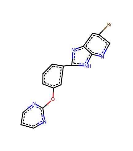 Brc1cnc2[nH]c(-c3cccc(Oc4ncccn4)c3)nc2c1